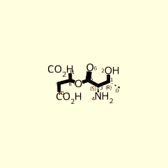 C[C@@H](O)[C@H](N)C(=O)OC(CC(=O)O)C(=O)O